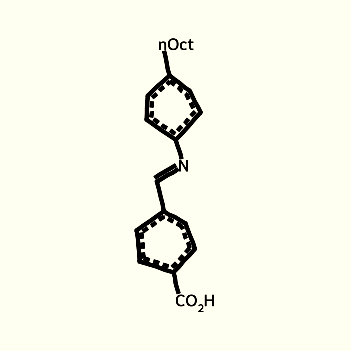 CCCCCCCCc1ccc(N=Cc2ccc(C(=O)O)cc2)cc1